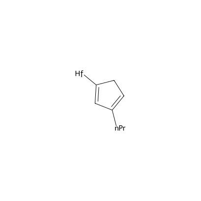 CCCC1=CC[C]([Hf])=C1